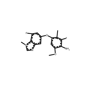 COc1cc(Oc2cc(F)c3c(c2)ncn3C)c(C)c(F)c1N